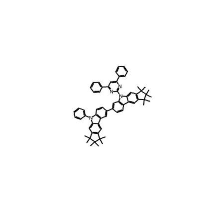 CC1(C)c2cc3c4cc(-c5ccc6c7cc8c(cc7n(-c7nc(-c9ccccc9)cc(-c9ccccc9)n7)c6c5)C(C)(C)C(C)(C)C8(C)C)ccc4n(-c4ccccc4)c3cc2C(C)(C)C1(C)C